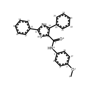 COc1ccc(NC(=O)c2sc(-c3ccccc3)nc2-c2ccccc2)cc1